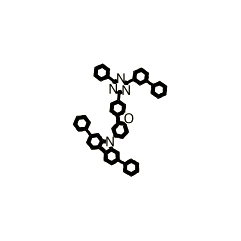 c1ccc(-c2cccc(-c3nc(-c4ccccc4)nc(-c4ccc5c(c4)oc4ccc(-n6c7cc(-c8ccccc8)ccc7c7ccc(-c8ccccc8)cc76)cc45)n3)c2)cc1